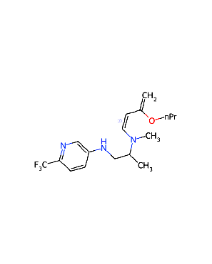 C=C(/C=C\N(C)C(C)CNc1ccc(C(F)(F)F)nc1)OCCC